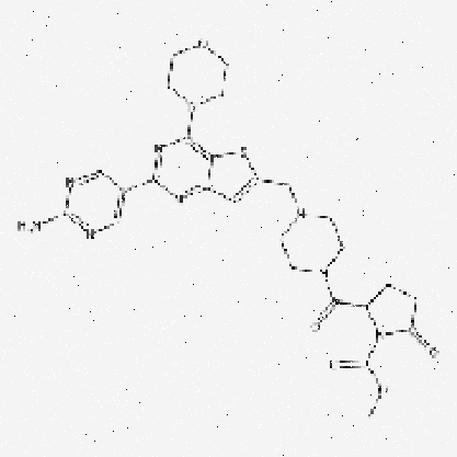 COC(=O)N1C(=O)CC[C@@H]1C(=O)N1CCN(Cc2cc3nc(-c4cnc(N)nc4)nc(N4CCOCC4)c3s2)CC1